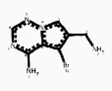 NCc1cn2ncnc(N)c2c1Br